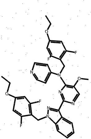 CCOc1cc(F)c(CN(c2ccncc2)c2nc(-c3nn(Cc4c(F)cc(OCC)cc4F)c4ccccc34)ncc2OC)c(F)c1